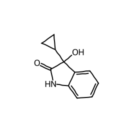 O=C1Nc2ccccc2C1(O)C1CC1